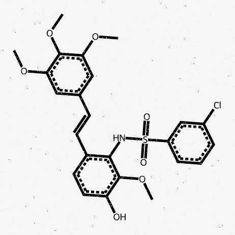 COc1cc(C=Cc2ccc(O)c(OC)c2NS(=O)(=O)c2cccc(Cl)c2)cc(OC)c1OC